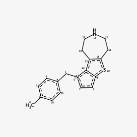 Cc1ccc(Cn2ccc3sc4c(c32)CCNCC4)cc1